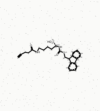 C#CCCC(=O)NCCCC[C@H](NC(=O)OCC1c2ccccc2-c2ccccc21)C(=O)O